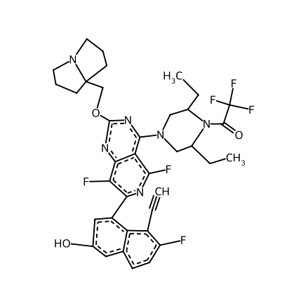 C#Cc1c(F)ccc2cc(O)cc(-c3nc(F)c4c(N5CC(CC)N(C(=O)C(F)(F)F)C(CC)C5)nc(OCC56CCCN5CCC6)nc4c3F)c12